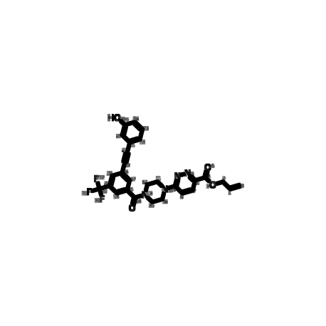 C=CCOC(=O)c1ccc(N2CCN(C(=O)c3cc(C#Cc4cccc(O)c4)cc(C(F)(F)F)c3)CC2)nn1